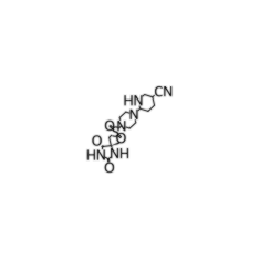 C[C@@]1(CS(=O)(=O)N2CCN(C3CCC(C#N)CN3)CC2)NC(=O)NC1=O